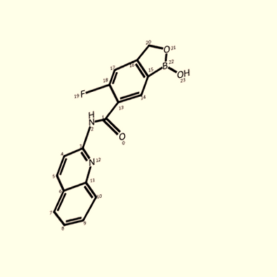 O=C(Nc1ccc2ccccc2n1)c1cc2c(cc1F)COB2O